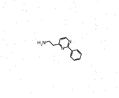 NCCc1ccnc(-c2ccccc2)n1